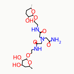 C[C@H]1C[C@@H](O)[C@H](O)[C@H](OCCNC(=O)CN(CC(N)=O)CC(=O)NCCO[C@@H]2O[C@@H](C)CC[C@@H]2O)O1